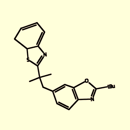 CC(C)(Cc1ccc2nc(C(C)(C)C)oc2c1)C1=NC2=CC=CCC2S1